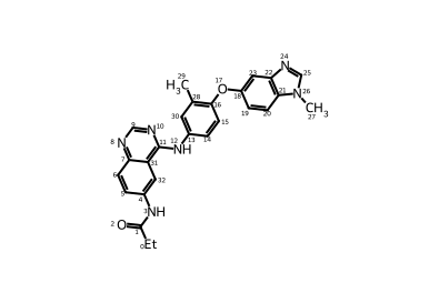 CCC(=O)Nc1ccc2ncnc(Nc3ccc(Oc4ccc5c(c4)ncn5C)c(C)c3)c2c1